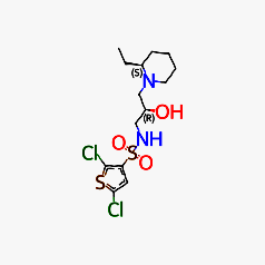 CC[C@H]1CCCCN1C[C@@H](O)CNS(=O)(=O)c1cc(Cl)sc1Cl